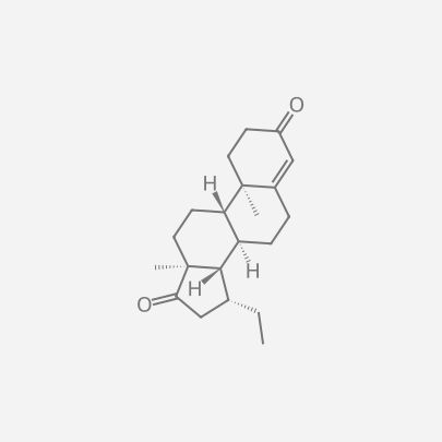 CC[C@@H]1CC(=O)[C@@]2(C)CC[C@H]3[C@@H](CCC4=CC(=O)CC[C@@]43C)[C@H]12